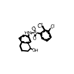 O=S(=O)(Nc1ccc2c(c1)C(O)CCC2)c1cccc(Cl)c1Cl